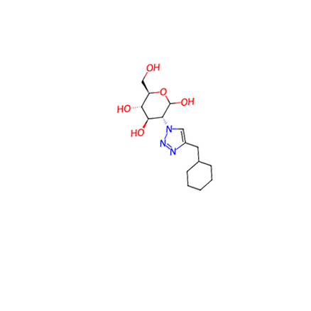 OC[C@H]1OC(O)[C@H](n2cc(CC3CCCCC3)nn2)[C@@H](O)[C@@H]1O